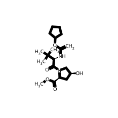 C=C(N[C@H](C(=O)N1C[C@@H](O)C[C@H]1C(=O)OC)C(C)(C)C)OC1CCCC1